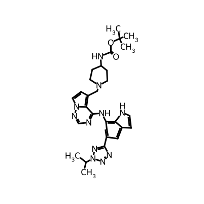 CC(C)n1nnc(-c2cc(Nc3ncnn4ccc(CN5CCC(NC(=O)OC(C)(C)C)CC5)c34)c3[nH]ccc3c2)n1